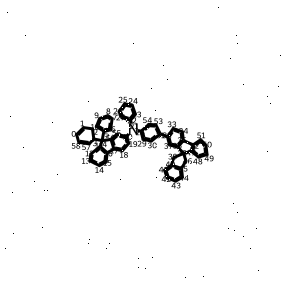 C1=CCC(C2(c3ccccc3)c3ccccc3-c3ccc(N(c4ccccc4)c4ccc(-c5ccc6c(c5)C5(Cc7ccccc7C5)c5ccccc5-6)cc4)cc32)C=C1